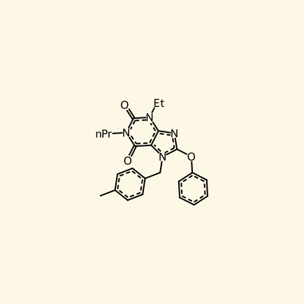 CCCn1c(=O)c2c(nc(Oc3ccccc3)n2Cc2ccc(C)cc2)n(CC)c1=O